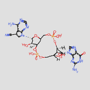 N#Cc1cn([C@@H]2OC3COP(=O)(O)O[C@@H]4[C@H](O)[C@@H](COP(=O)(O)O[C@H]3[C@H]2O)O[C@H]4n2cnc3c(=O)[nH]c(N)nc32)c2ncnc(N)c12